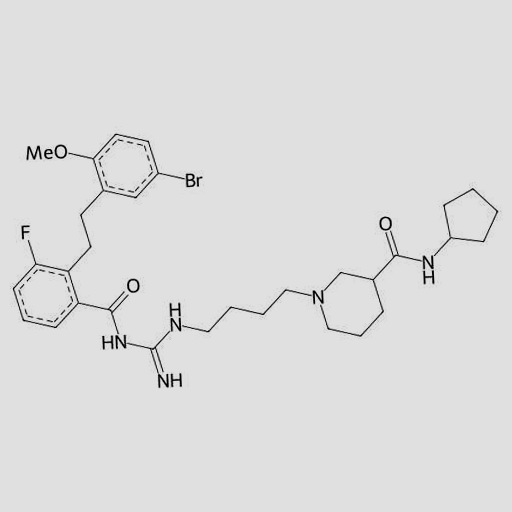 COc1ccc(Br)cc1CCc1c(F)cccc1C(=O)NC(=N)NCCCCN1CCCC(C(=O)NC2CCCC2)C1